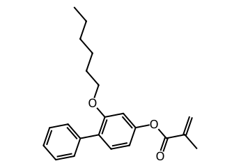 C=C(C)C(=O)Oc1ccc(-c2ccccc2)c(OCCCCCC)c1